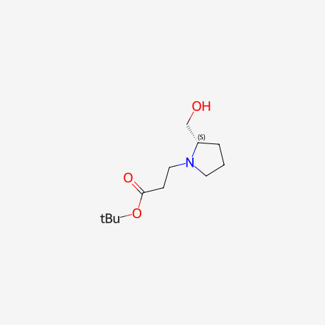 CC(C)(C)OC(=O)CCN1CCC[C@H]1CO